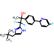 CC(C)(C)Cc1c[nH]c(C(F)(F)C(C)(O)c2ccc(-c3ccc(F)cn3)cc2)n1